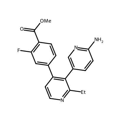 CCc1nccc(-c2ccc(C(=O)OC)c(F)c2)c1-c1ccc(N)nc1